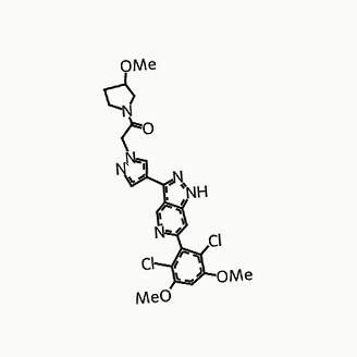 COc1cc(OC)c(Cl)c(-c2cc3[nH]nc(-c4cnn(CC(=O)N5CCC(OC)C5)c4)c3cn2)c1Cl